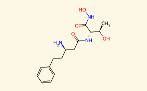 C[C@@H](O)[C@H](NC(=O)C[C@H](N)CCc1ccccc1)C(=O)NO